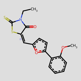 CCN1C(=O)/C(=C\c2ccc(-c3ccccc3OC)o2)SC1=S